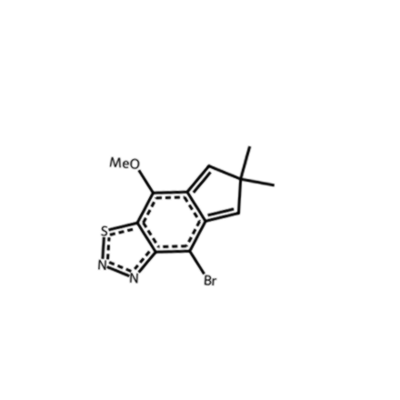 COc1c2c(c(Br)c3nnsc13)=CC(C)(C)C=2